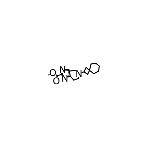 COC(=O)c1ncc2c(n1)CCN(C1CC3(CCCCC3)C1)C2